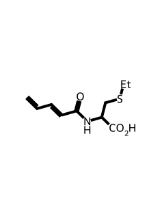 C=C/C=C/C(=O)NC(CSCC)C(=O)O